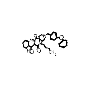 CCCCN1C(=O)C(C(O)C2CCCCC2)NC(=O)C12CCN(Cc1ccc(Oc3ccccc3)cc1)CC2